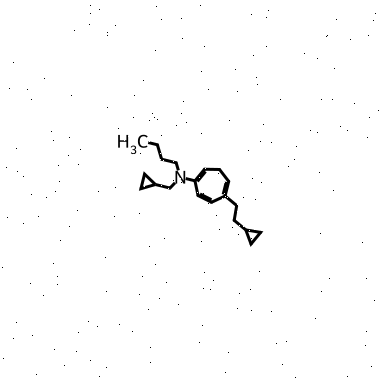 CCCCN(CC1CC1)C1=CCC=C(CCC2CC2)C=C1